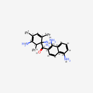 CC(C)C1=CC(C(C)C)=C(N)C(C(C)C)C1(N)C(=O)c1ccc2c(N)cccc2c1N